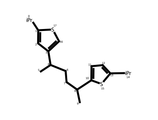 CC(C)c1cc(C(C)CCC(C)c2ccc(C(C)C)s2)cs1